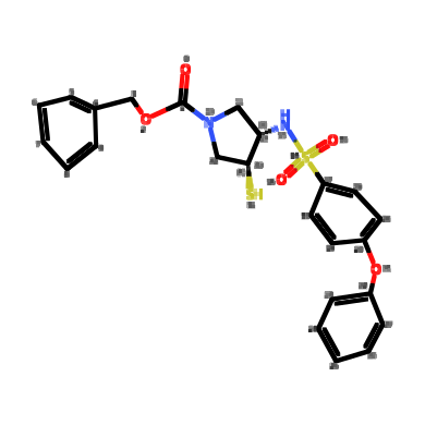 O=C(OCc1ccccc1)N1C[C@H](NS(=O)(=O)c2ccc(Oc3ccccc3)cc2)[C@@H](S)C1